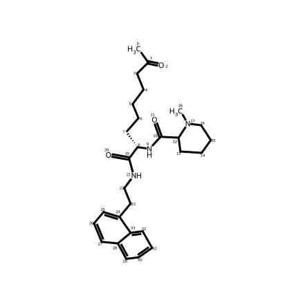 CC(=O)CCCCC[C@H](NC(=O)C1CCCCN1C)C(=O)NCCc1cccc2ccccc12